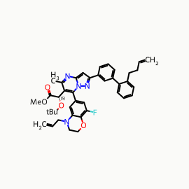 C=CCCc1ccccc1-c1cccc(-c2cc3nc(C)c([C@H](OC(C)(C)C)C(=O)OC)c(-c4cc(F)c5c(c4)N(CC=C)CCO5)n3n2)c1